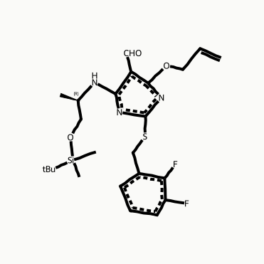 C=CCOc1nc(SCc2cccc(F)c2F)nc(N[C@H](C)CO[Si](C)(C)C(C)(C)C)c1C=O